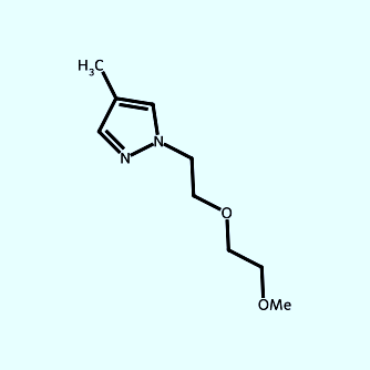 COCCOCCn1cc(C)cn1